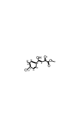 COC(=O)C(=O)C=C(O)c1ccc(Cl)c(C)c1